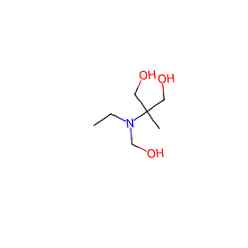 CCN(CO)C(C)(CO)CO